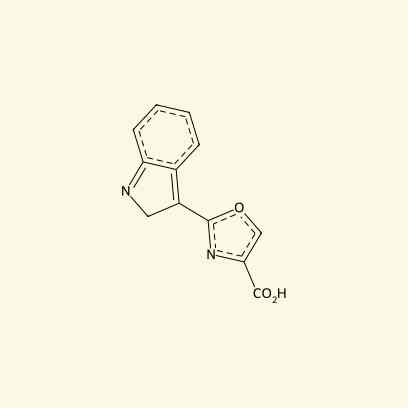 O=C(O)c1coc(C2=c3ccccc3=NC2)n1